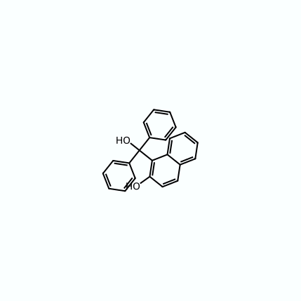 Oc1ccc2ccccc2c1C(O)(c1ccccc1)c1ccccc1